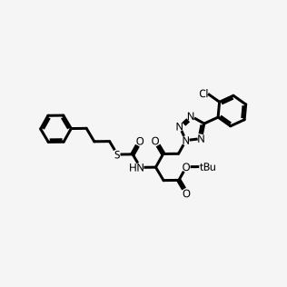 CC(C)(C)OC(=O)CC(NC(=O)SCCCc1ccccc1)C(=O)Cn1nnc(-c2ccccc2Cl)n1